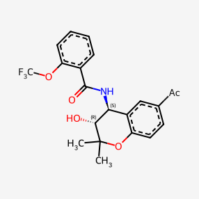 CC(=O)c1ccc2c(c1)[C@H](NC(=O)c1ccccc1OC(F)(F)F)[C@@H](O)C(C)(C)O2